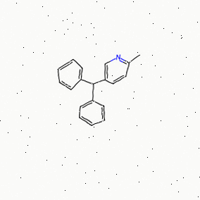 Cc1ccc(C(c2ccccc2)c2ccccc2)cn1